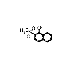 CS(=O)(=O)c1ccc2ccccc2c1[O]